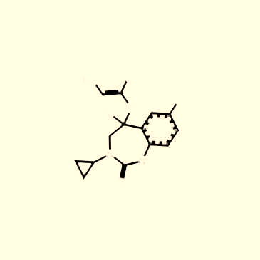 CC=C(CC)OC1(C(F)(F)F)CN(C2CC2)C(=O)Nc2ccc(Cl)cc21